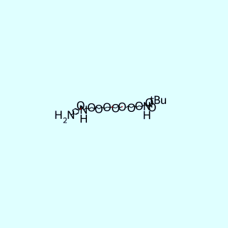 CC(C)(C)OC(=O)NCCOCCOCCOCCOCCOCCOCCOCCNC(=O)c1ccc(N)cc1